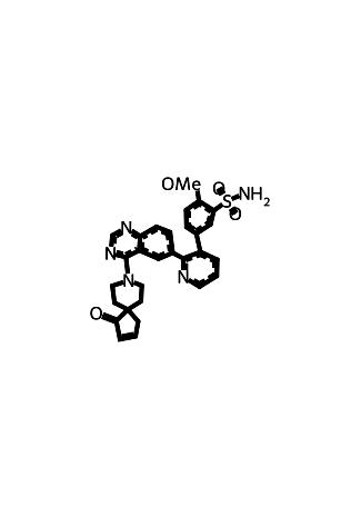 COc1ccc(-c2cccnc2-c2ccc3ncnc(N4CCC5(CC=CC5=O)CC4)c3c2)cc1S(N)(=O)=O